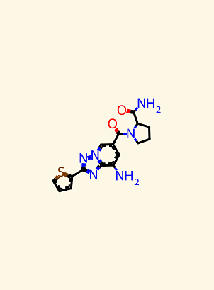 NC(=O)C1CCCN1C(=O)c1cc(N)c2nc(-c3cccs3)nn2c1